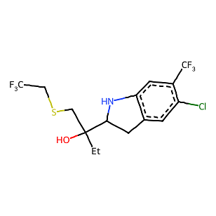 CCC(O)(CSCC(F)(F)F)C1Cc2cc(Cl)c(C(F)(F)F)cc2N1